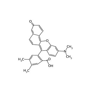 Cc1cc(C(=O)O)c(-c2c3ccc(N(C)C)cc3oc3c2ccc2cc(=O)ccc23)cc1C